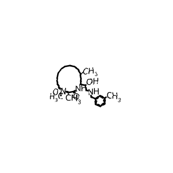 Cc1cccc(CNCC(O)C2C[C@H](C)CCCCCCCCC(=O)N(C)[C@@H](C)C(=O)N2)c1